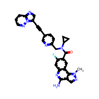 Cn1ncc2c(N)nc3cc(F)c(C(=O)N(Cc4ccc(C#Cc5cnc6cccnn56)cn4)C4CC4)cc3c21